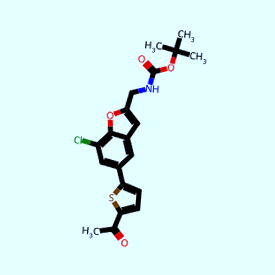 CC(=O)c1ccc(-c2cc(Cl)c3oc(CNC(=O)OC(C)(C)C)cc3c2)s1